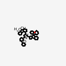 CC1(C)c2ccccc2-c2c(-c3cc(-c4cccc5c4oc4ccccc45)nc(-c4ccc5c(c4)C(c4ccccc4)(c4ccccc4)c4ccccc4-5)n3)cccc21